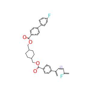 C=C(F)/C=C\C(=C)c1ccc(C(=O)OCC2CCC(COC(=O)c3ccc(-c4ccc(F)cc4)cc3)CC2)cc1